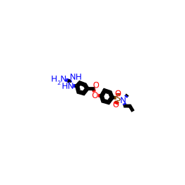 CCCN(C)S(=O)(=O)c1ccc(OC(=O)c2ccc(NC(=N)N)cc2)cc1